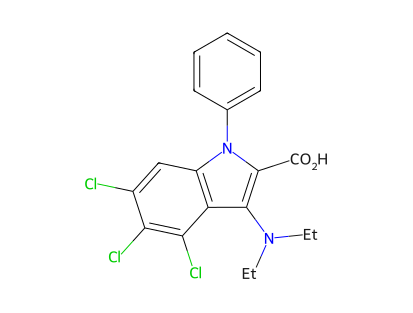 CCN(CC)c1c(C(=O)O)n(-c2ccccc2)c2cc(Cl)c(Cl)c(Cl)c12